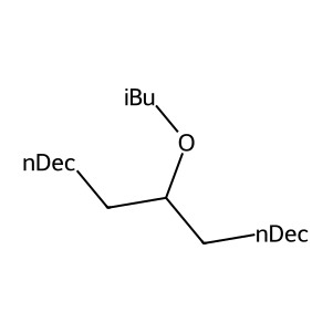 CCCCCCCCCCCC(CCCCCCCCCCC)OC(C)CC